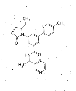 CCC1COC(=O)N1c1cc(C(=O)NC(C)c2cnccn2)cc(-c2ccc(C)cn2)c1